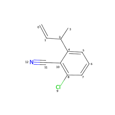 C=C[C](C)c1cccc(Cl)c1C#N